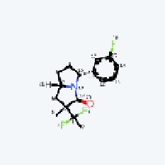 CC(F)(F)[C@]1(C)C[C@@H]2CC[C@H](c3cccc(F)c3)N2C1=O